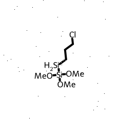 CO[Si](OC)(OC)[SiH2]CCCCl